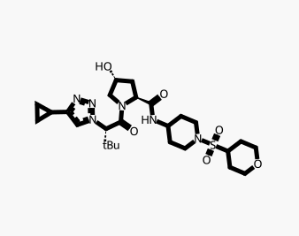 CC(C)(C)[C@@H](C(=O)N1C[C@H](O)C[C@H]1C(=O)NC1CCN(S(=O)(=O)C2CCOCC2)CC1)n1cc(C2CC2)nn1